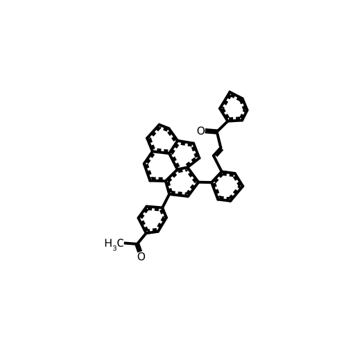 CC(=O)c1ccc(-c2cc(-c3ccccc3C=CC(=O)c3ccccc3)c3ccc4cccc5ccc2c3c54)cc1